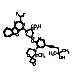 C[C@@H]1N(c2cc(C#CCC(C)(C)O)cnc2O[C@H]2C[C@@H](C(=O)O)N(c3nc(C(F)F)nc4c3oc3ccccc34)C2)CCOC12COC2